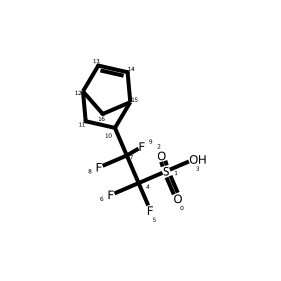 O=S(=O)(O)C(F)(F)C(F)(F)C1CC2C=CC1C2